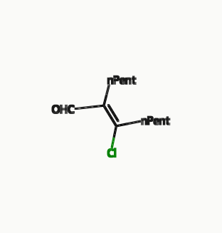 CCCCCC(Cl)=C(C=O)CCCCC